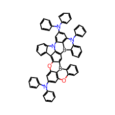 c1ccc(N(c2ccccc2)c2cc3c4c(c2)Oc2c(cc5c6c2c2ccccc2n6-c2cc(N(c6ccccc6)c6ccccc6)cc6c2B5c2ccccc2N6c2ccccc2)B4c2ccccc2O3)cc1